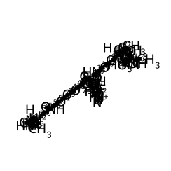 CC(C)C[C@@H](C(=O)N[C@H](C(=O)NCCOCCOCCNC(=O)C[C@H](NC(=O)c1c(F)c(F)c(N=[N+]=[N-])c(F)c1F)C(=O)NCCCOCCOCCOCCCNC(=O)CCCC[C@@H]1SC[C@]2(C)NC(=O)N[C@H]12)C(C)(C)C)[C@H](O)C(=O)NO